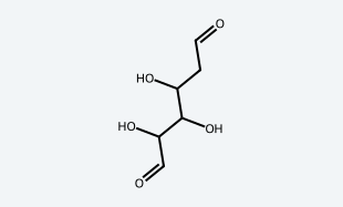 O=CCC(O)C(O)C(O)C=O